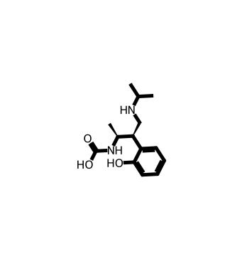 CC(C)NC[C@@H](c1ccccc1O)[C@H](C)NC(=O)O